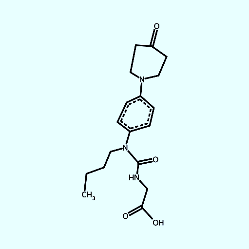 CCCCN(C(=O)NCC(=O)O)c1ccc(N2CCC(=O)CC2)cc1